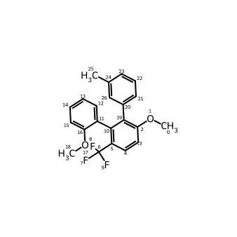 COc1[c]cc(C(F)(F)F)c(-c2ccccc2OC)c1-c1cccc(C)c1